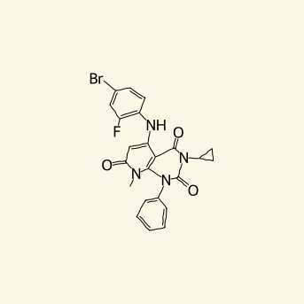 Cn1c(=O)cc(Nc2ccc(Br)cc2F)c2c(=O)n(C3CC3)c(=O)n(-c3ccccc3)c21